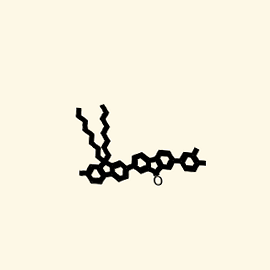 CCCCCCCCC1(CCCCCCCC)c2cc(C)ccc2-c2ccc(-c3ccc4c(c3)C(=O)c3cc(-c5ccc(C)c(C)c5)ccc3-4)cc21